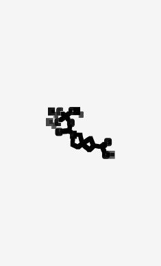 CC(C)(C)OC(=O)N1CCC2(CC(C(=O)O)C2)C1